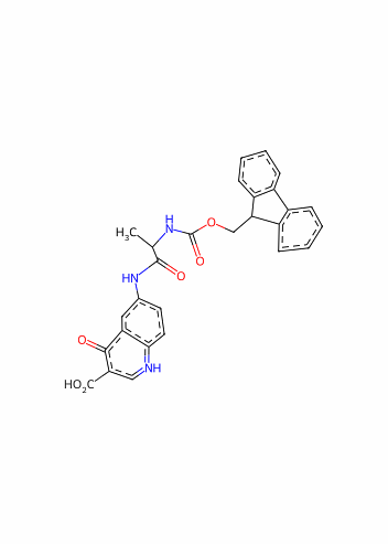 CC(NC(=O)OCC1c2ccccc2-c2ccccc21)C(=O)Nc1ccc2[nH]cc(C(=O)O)c(=O)c2c1